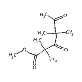 COC(=O)C(C)(C)C(=O)C(C)(C)C(C)=O